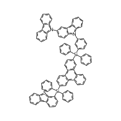 c1ccc([Si](c2ccccc2)(c2cccc(-n3c4ccccc4c4cc(-n5c6ccccc6c6ccccc65)ccc43)c2)c2ccc3c4ccc([Si](c5ccccc5)(c5ccccc5)c5cccc6c5sc5ccccc56)cc4c4ccccc4c3c2)cc1